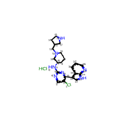 Cl.Clc1cnc(N[C@@H]2CCCN(CC3CCNC3)C2)nc1-c1c[nH]c2ncccc12